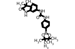 CC1(C)C(=O)Nc2cc(NC(=O)Nc3ccc(B4OC(C)(C)C(C)(C)O4)cc3)ccc21